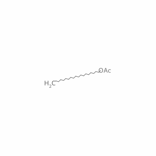 C=CCCCCCCCCCCCCCCCCCOC(C)=O